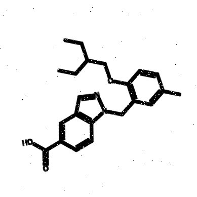 CCC(CC)COc1ccc(C)cc1Cn1ncc2cc(C(=O)O)ccc21